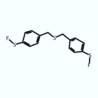 FSc1ccc(CSCc2ccc(SF)cc2)cc1